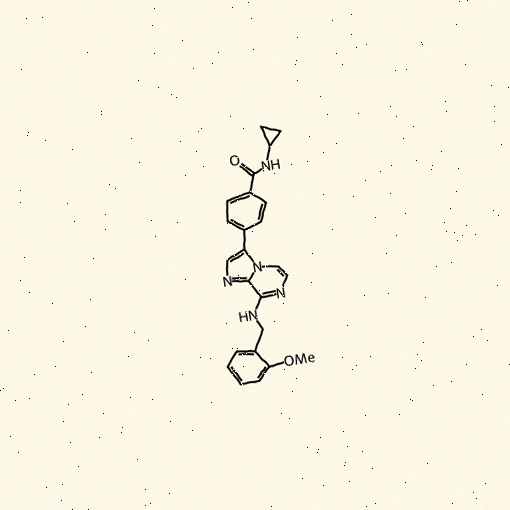 COc1ccccc1CNc1nccn2c(-c3ccc(C(=O)NC4CC4)cc3)cnc12